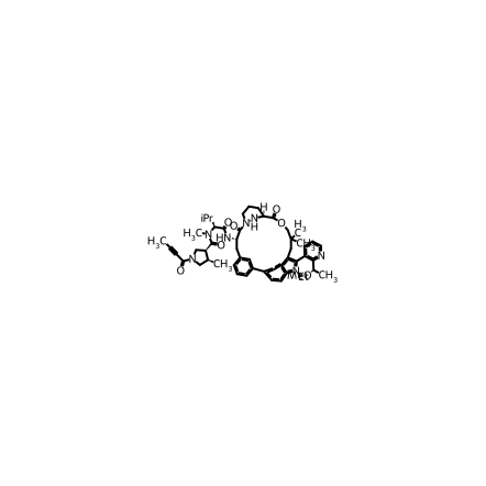 CC#CC(=O)N1C[C@H](C)[C@H](C(=O)N(C)[C@H](C(=O)N[C@H]2Cc3cccc(c3)-c3ccc4c(c3)c(c(-c3cccnc3[C@H](C)OC)n4CC)CC(C)(C)COC(=O)[C@@H]3CCCN(N3)C2=O)C(C)C)C1